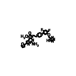 Cn1c(=O)n(CCN2CCN(c3cc(OCc4nnn[nH]4)c(F)cc3F)CC2)c2nc(N)n3nc(-c4ccco4)cc3c21